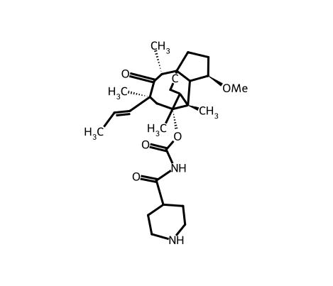 CC=C[C@]1(C)C[C@@H](OC(=O)NC(=O)C2CCNCC2)[C@]2(C)C(C)CCC3(CC[C@@H](OC)C32)[C@@H](C)C1=O